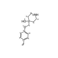 OC1(COc2ccc(F)cc2)CCNCC1